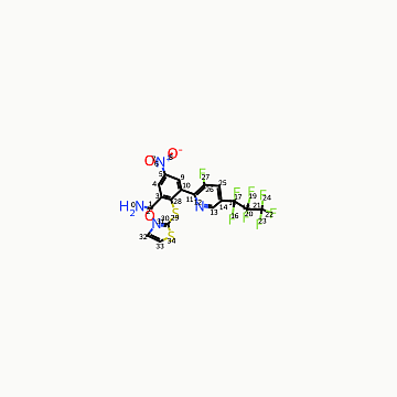 NC(=O)c1cc([N+](=O)[O-])cc(-c2ncc(C(F)(F)C(F)(F)C(F)(F)F)cc2F)c1Sc1nccs1